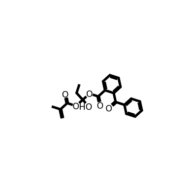 C=C(C)C(=O)OC(O)(CC)OC(=O)c1ccccc1C(=O)c1ccccc1